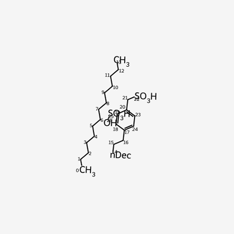 CCCCCCCCCCCCCC.CCCCCCCCCCCCc1ccc(CS(=O)(=O)O)cc1.O=S(=O)(O)O